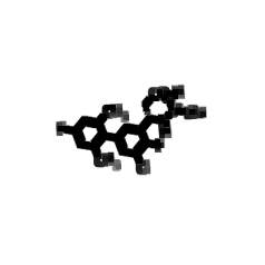 Cc1cc(F)cc(C)c1-c1cc(Cl)c(F)c([C@H](CC(=O)O)N[S+]([O-])C(C)(C)C)c1